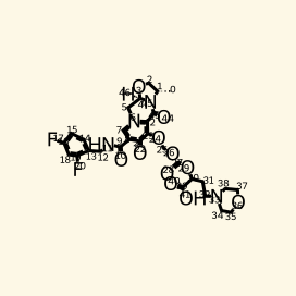 C[C@H]1CO[C@@H]2Cn3cc(C(=O)NCc4ccc(F)cc4F)c(=O)c(OCOC(=O)OC(CCN4CCOCC4)C(=O)O)c3C(=O)N12